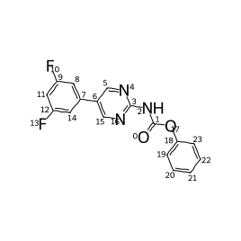 O=C(Nc1ncc(-c2cc(F)cc(F)c2)cn1)Oc1ccccc1